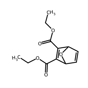 CCOC(=O)C1=C(C(=O)OCC)C2C=CC1O2